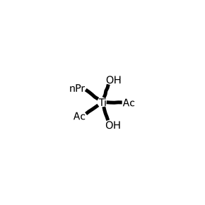 CC[CH2][Ti]([OH])([OH])([C](C)=O)[C](C)=O